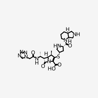 C[C@@H](NC(=O)Cn1cnnn1)[C@H]1C(=O)N2C(C(=O)O)=C(S[C@@H]3CN[C@H](C(=O)N4CCC[C@H]5CNC[C@H]54)C3)[C@H](C)[C@H]12